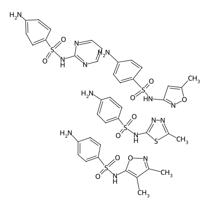 Cc1cc(NS(=O)(=O)c2ccc(N)cc2)no1.Cc1nnc(NS(=O)(=O)c2ccc(N)cc2)s1.Cc1noc(NS(=O)(=O)c2ccc(N)cc2)c1C.Nc1ccc(S(=O)(=O)Nc2ncccn2)cc1